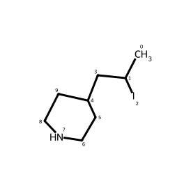 CC(I)CC1CCNCC1